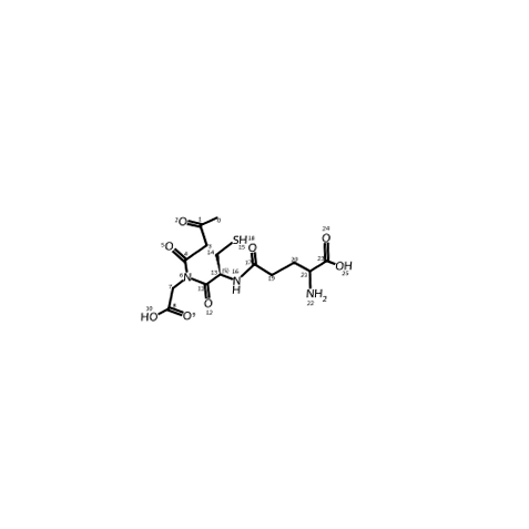 CC(=O)CC(=O)N(CC(=O)O)C(=O)[C@@H](CS)NC(=O)CCC(N)C(=O)O